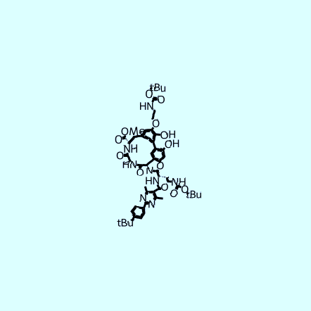 COC(=O)[C@@H]1Cc2cc(OCCNC(=O)OC(C)(C)C)c(O)c(c2)-c2cc(ccc2O)[C@H](N(C)C(=O)[C@H](CCNC(=O)OC(C)(C)C)NC(=O)c2c(C)nc(-c3ccc(C(C)(C)C)cc3)nc2C)C(=O)N[C@@H](C)C(=O)N1